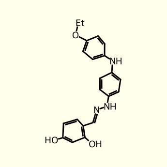 CCOc1ccc(Nc2ccc(NN=Cc3ccc(O)cc3O)cc2)cc1